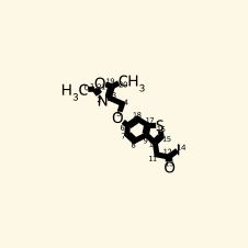 Cc1nc(COc2ccc3c(CC(=O)I)csc3c2)c(C)o1